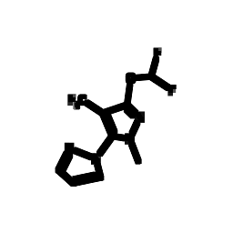 Cn1nc(OC(F)F)c(C(F)(F)F)c1-n1cccn1